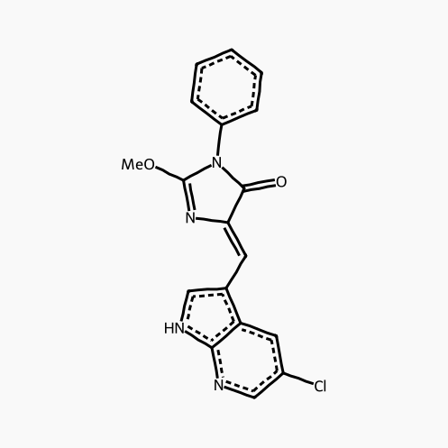 COC1=NC(=Cc2c[nH]c3ncc(Cl)cc23)C(=O)N1c1ccccc1